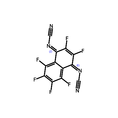 N#C/N=C1C(F)=C(F)/C(=N/C#N)c2c(F)c(F)c(F)c(F)c2\1